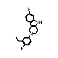 CCc1cc(N2CCc3[nH]c4cc(F)ccc4c3C2)ccc1F